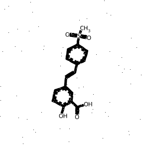 CS(=O)(=O)c1ccc(C=Cc2ccc(O)c(C(=O)O)c2)cc1